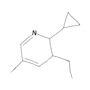 CCC1C=C(C)C=NC1C1CC1